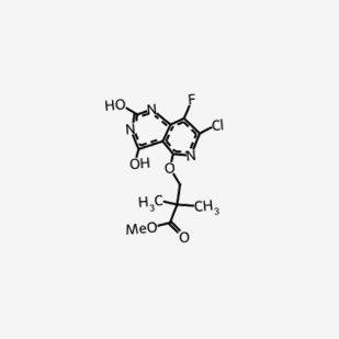 COC(=O)C(C)(C)COc1nc(Cl)c(F)c2nc(O)nc(O)c12